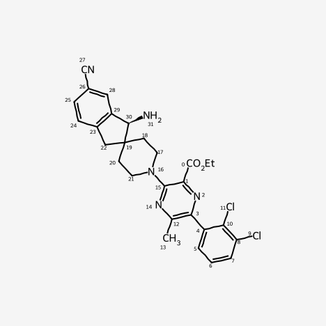 CCOC(=O)c1nc(-c2cccc(Cl)c2Cl)c(C)nc1N1CCC2(CC1)Cc1ccc(C#N)cc1[C@H]2N